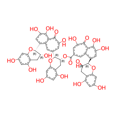 O=C(O[C@@H]1Cc2c(O)cc(O)cc2O[C@@H]1c1cc(O)c(=O)c2c(O)c(O)cc([C@H]3Oc4cc(O)cc(O)c4C[C@H]3O)c2c1)c1cc(O)c(=O)c2c(O)c(O)cc([C@H]3Oc4cc(O)cc(O)c4C[C@H]3O)c2c1